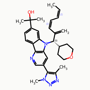 C=C(/C=C\C=C/C)[C@H](C1CCOCC1)n1c2cc(C(C)(C)O)ccc2c2ncc(-c3c(C)nnn3C)cc21